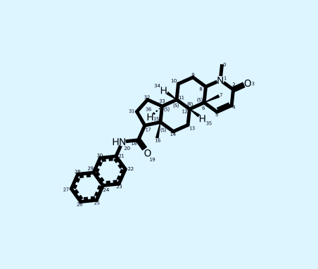 CN1C(=O)C=C[C@@]2(C)C1CC[C@@H]1[C@H]2CC[C@]2(C)C(C(=O)Nc3ccc4ccccc4c3)CC[C@@H]12